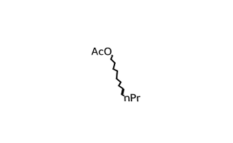 CCC/C=C/CCCCCCCCOC(C)=O